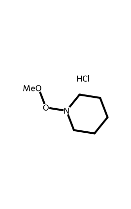 COON1CCCCC1.Cl